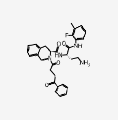 Cc1cccc(NC(=O)[C@H](CCN)NC(=O)[C@@H]2Cc3ccccc3CN2C(=O)CCC(=O)c2ccccc2)c1F